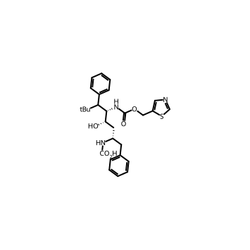 CC(C)(C)C(c1ccccc1)[C@H](NC(=O)OCc1cncs1)[C@@H](O)C[C@H](Cc1ccccc1)NC(=O)O